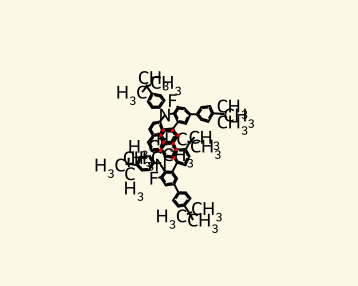 CC(C)(C)c1ccc(-c2cc(F)c(N(c3ccc(C(C)(C)C)cc3)c3ccc4ccc5c(N(c6ccc(C(C)(C)C)cc6)c6c(F)cc(-c7ccc(C(C)(C)C)cc7)cc6-c6ccc(C(C)(C)C)cc6)ccc6ccc3c4c65)c(-c3ccc(C(C)(C)C)cc3)c2)cc1